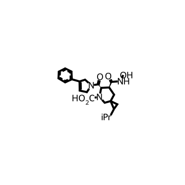 CC(C)C1CC12C[C@H](C(=O)NO)[C@@H](C(=O)N1CC=C(c3ccccc3)C1)N(C(=O)O)C2